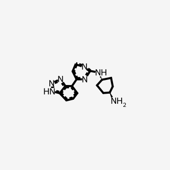 N[C@H]1CC[C@H](Nc2nccc(-c3cccc4[nH]nnc34)n2)CC1